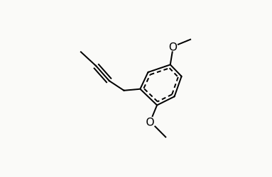 CC#CCc1cc(OC)ccc1OC